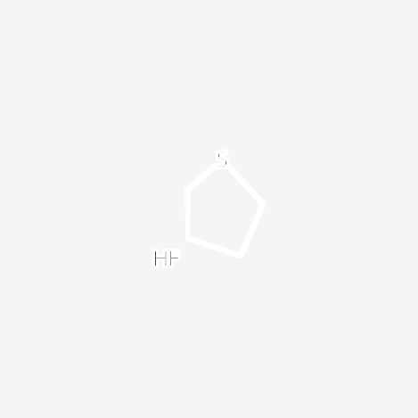 C1CCSC1.F